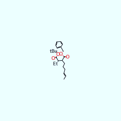 CC=CCCCC(C(=O)OCc1ccccc1)C(CC)C(=O)OC(C)(C)C